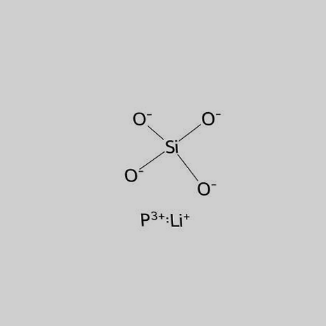 [Li+].[O-][Si]([O-])([O-])[O-].[P+3]